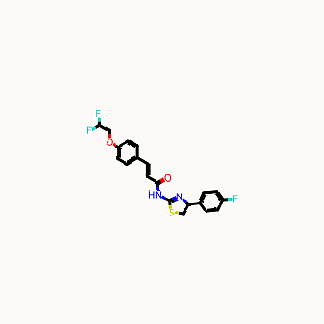 O=C(/C=C/c1ccc(OCC(F)F)cc1)NC1=NC(c2ccc(F)cc2)CS1